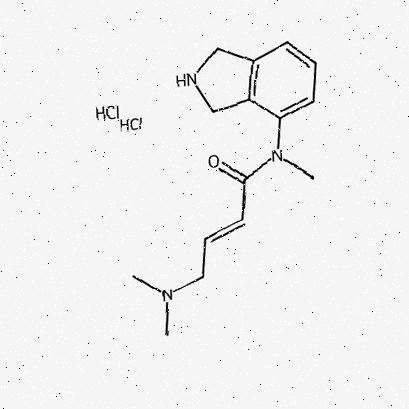 CN(C)C/C=C/C(=O)N(C)c1cccc2c1CNC2.Cl.Cl